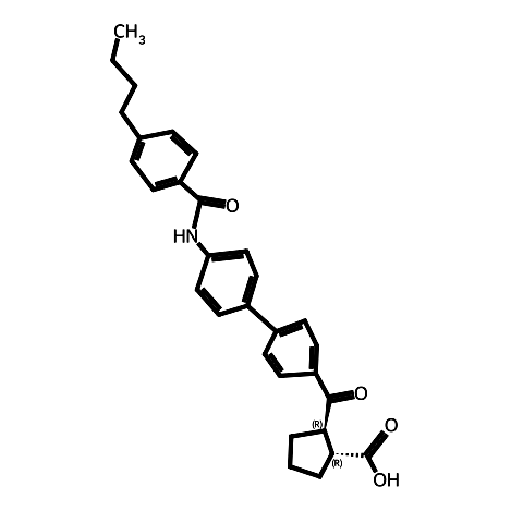 CCCCc1ccc(C(=O)Nc2ccc(-c3ccc(C(=O)[C@@H]4CCC[C@H]4C(=O)O)cc3)cc2)cc1